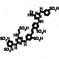 CCNc1nc(Nc2cccc(S(=O)(=O)O)c2)nc(Nc2ccc(/C=C/c3ccc(Nc4nc(NCCS(=O)(=O)O)nc(Nc5cc(S(=O)(=O)O)ccc5S(=O)(=O)O)n4)cc3S(=O)(=O)O)c(S(=O)(=O)O)c2)n1